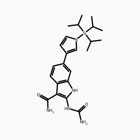 CC(C)[Si](C(C)C)(C(C)C)n1ccc(-c2ccc3c(C(N)=O)c(NC(N)=O)[nH]c3c2)c1